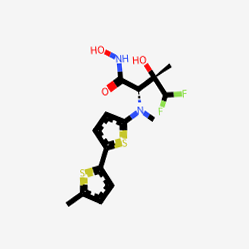 Cc1ccc(-c2ccc(N(C)[C@H](C(=O)NO)[C@](C)(O)C(F)F)s2)s1